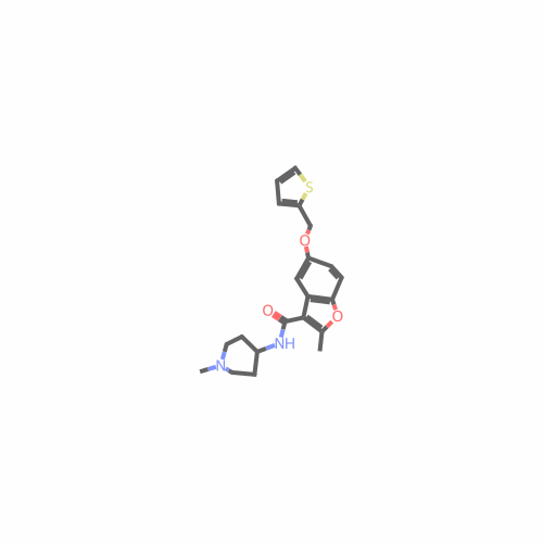 Cc1oc2ccc(OCc3cccs3)cc2c1C(=O)NC1CCN(C)CC1